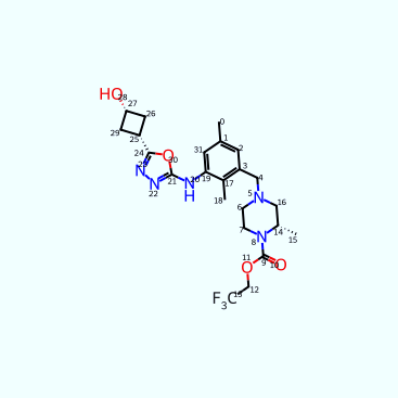 Cc1cc(CN2CCN(C(=O)OCC(F)(F)F)[C@@H](C)C2)c(C)c(Nc2nnc([C@H]3C[C@@H](O)C3)o2)c1